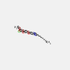 CCCCCCCCCCCCCc1cnc(-c2ccc(C(=O)Oc3ccc(C(=O)O[C@@H](CCl)CC(=O)OCC)cc3)cc2)nc1